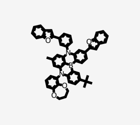 Cc1cc2c3c(c1)N(c1cccc4c1OCCCO4)c1ccc(C(C)(C)C)cc1B3c1ccc(-c3cc4ccccc4o3)cc1N2c1cccc(-c2cc3ccccc3o2)c1